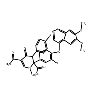 COc1cc2nccc(Oc3ccc(C4(C(N)=O)C(c5ccc(F)cc5)C(=O)C(C(N)=O)=CN4C)cc3F)c2cc1OC